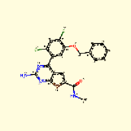 CC(C)NC(=O)c1cc2c(-c3cc(OCc4ccccc4)c(Cl)cc3Cl)nc(N)nc2s1